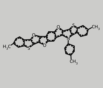 Cc1ccc(-n2c3c4cc5oc6c(oc7c8ccc(C)cc8sc76)c5cc4oc3c3sc4cc(C)ccc4c32)cc1